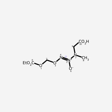 CCOC(=O)OCO/N=[N+](\[O-])N(C)CC(=O)O